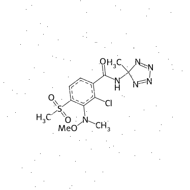 CON(C)c1c(S(C)(=O)=O)ccc(C(=O)NC2(C)N=NN=N2)c1Cl